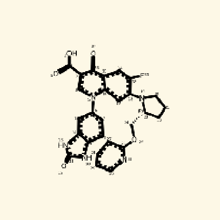 O=C(O)c1cn(-c2ccc3[nH]c(=O)[nH]c3c2)c2cc(N3CCC[C@@H]3COc3ccccn3)c(F)cc2c1=O